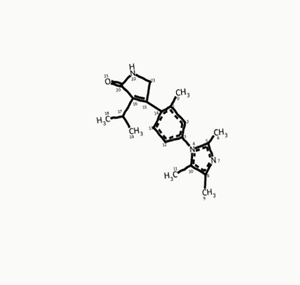 Cc1cc(-n2c(C)nc(C)c2C)ccc1C1=C(C(C)C)C(=O)NC1